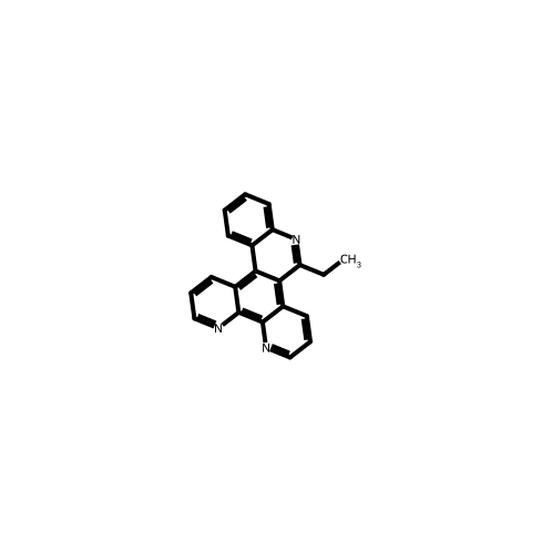 CCc1nc2ccccc2c2c3cccnc3c3ncccc3c12